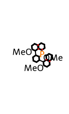 COc1cccc(C)c1-c1cccc(-c2c(OC)cccc2OC)c1P(c1ccccc1)c1ccccc1